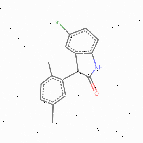 Cc1ccc(C)c(C2C(=O)Nc3ccc(Br)cc32)c1